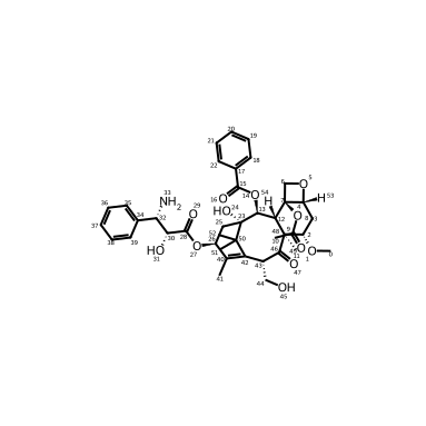 CO[C@H]1C[C@H]2OC[C@@]2(OC(C)=O)[C@H]2[C@H](OC(=O)c3ccccc3)[C@]3(O)C[C@H](OC(=O)[C@H](O)[C@@H](N)c4ccccc4)C(C)=C([C@@H](CO)C(=O)[C@]12C)C3(C)C